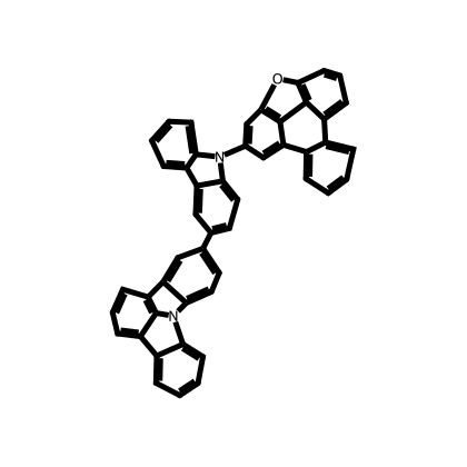 c1ccc2c(c1)c1cccc3oc4cc(-n5c6ccccc6c6cc(-c7ccc8c(c7)c7cccc9c%10ccccc%10n8c97)ccc65)cc2c4c31